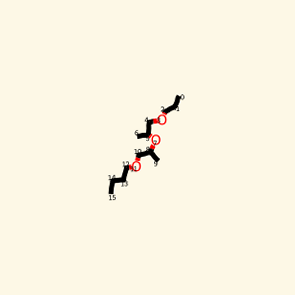 C[CH][CH]OCC(C)OC(C)COCCCC